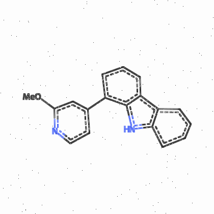 COc1cc(-c2cccc3c2[nH]c2ccccc23)ccn1